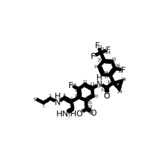 CCCN/C=C(\C=N)c1c(F)cc(NC(=O)C2(c3ccc(C(F)(F)F)cc3F)CC2)cc1C(=O)O